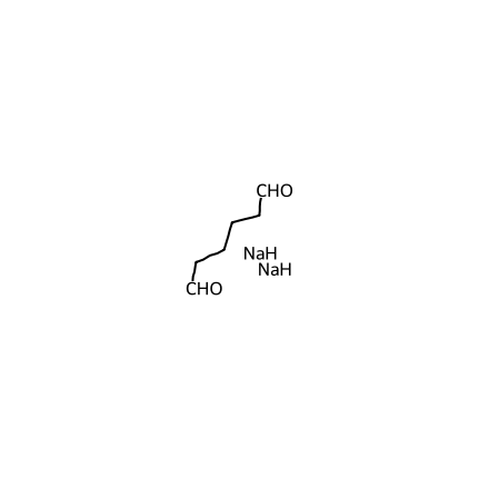 O=CCCCCC=O.[NaH].[NaH]